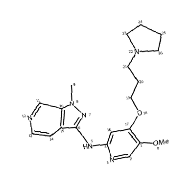 COc1cnc(Nc2nn(C)c3cnccc23)cc1OCCCN1CCCC1